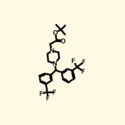 CC(C)(C)OC(=O)CN1CCN(C(c2cccc(C(F)(F)F)c2)c2cccc(C(F)(F)F)c2)CC1